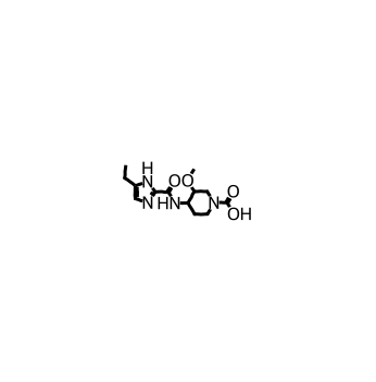 CCc1cnc(C(=O)NC2CCN(C(=O)O)CC2OC)[nH]1